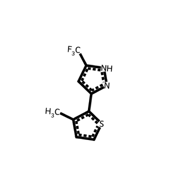 Cc1ccsc1-c1cc(C(F)(F)F)[nH]n1